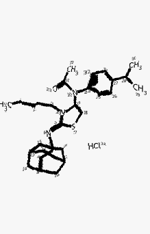 CCCCN1C(=NC23CC4CC(CC(C4)C2)C3)SCC1N(C(C)=O)c1ccc(C(C)C)cc1.Cl